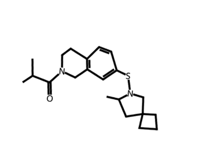 CC(C)C(=O)N1CCc2ccc(SN3CC4(CCC4)CC3C)cc2C1